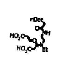 CCCCCCCCCCCC(=O)NCCN(CC)[C@@H](CC(=O)O)OCCC(=O)O